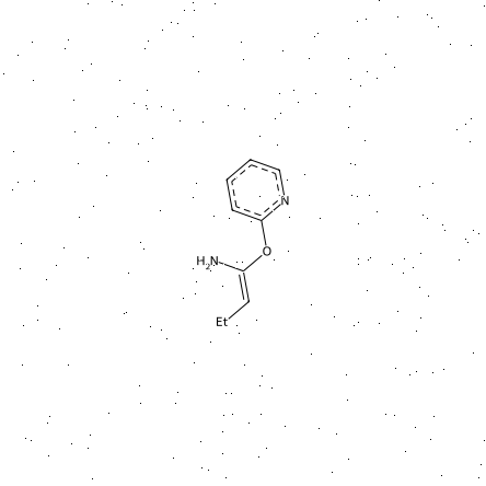 CCC=C(N)Oc1ccccn1